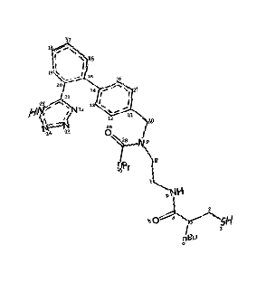 CCCCC(CS)C(=O)NCCN(Cc1ccc(-c2ccccc2-c2nnn[nH]2)cc1)C(=O)CCC